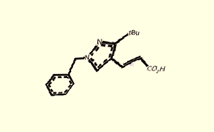 CC(C)(C)c1nn(Cc2ccccc2)cc1/C=C/C(=O)O